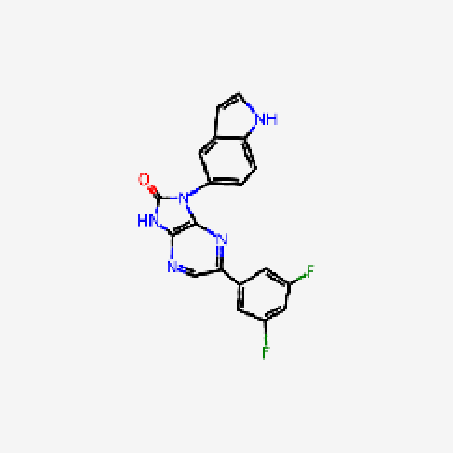 O=c1[nH]c2ncc(-c3cc(F)cc(F)c3)nc2n1-c1ccc2[nH]ccc2c1